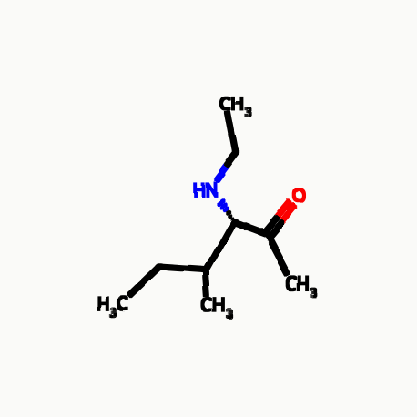 CCN[C@H](C(C)=O)C(C)CC